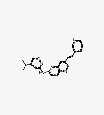 CC(C)c1cnnc(Nc2ccc3ncc(/C=C/c4cccnc4)cc3n2)c1